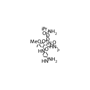 C=Cc1cc(C(=O)Nc2ccc(C(=N)N)cc2)c(-c2ccc(C(=O)NCC3CC3)nc2C(=O)OCOC(=O)[C@@H](N)C(C)C)cc1OC